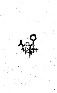 C=C(C)C(=O)OC(CC1CCCC1)C(O)(C(F)(F)F)C(F)(F)F